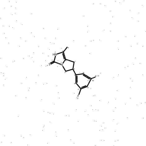 Cc1[nH]c(=S)n2c1CC(c1cc(F)cc(F)c1)C2